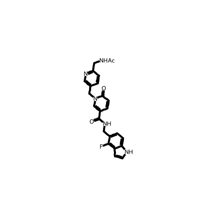 CC(=O)NCc1ccc(Cn2cc(C(=O)NCc3ccc4[nH]ccc4c3F)ccc2=O)cn1